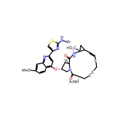 COc1ccc2c(O[C@@H]3C[C@H]4C(=O)N[C@]5(C(=O)O)CC5/C=C\CCCCC[C@H](NC(C)=O)C(=O)N4C3)cc(-c3csc(NC(C)C)n3)nc2c1